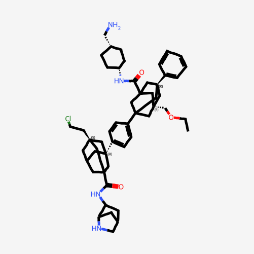 CCOC[C@@]12CC3(C(=O)N[C@H]4CC[C@@H](CN)CC4)CC(c4ccc([C@]56CC7CC(C(=O)NC8CC9CNC8C9)(C[C@](CCCl)(C7)C5)C6)cc4)(C1)C[C@](c1ccccc1)(C3)C2